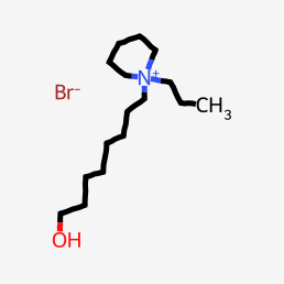 CCC[N+]1(CCCCCCCCO)CCCCC1.[Br-]